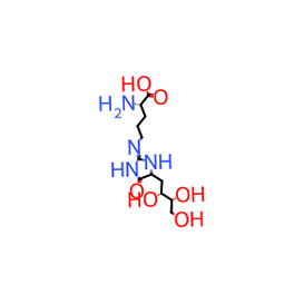 N[C@@H](CCCN=C1NC(=O)C(C[C@@H](O)[C@H](O)CO)N1)C(=O)O